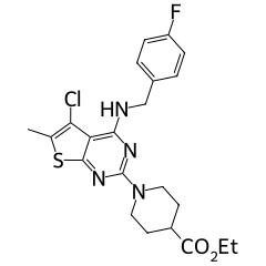 CCOC(=O)C1CCN(c2nc(NCc3ccc(F)cc3)c3c(Cl)c(C)sc3n2)CC1